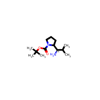 CC(C)[C@@H](N)C1CCCN1C(=O)OC(C)(C)C